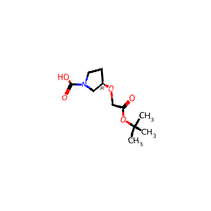 CC(C)(C)OC(=O)CO[C@@H]1CCN(C(=O)O)C1